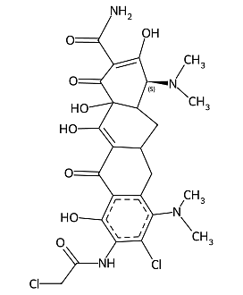 CN(C)c1c(Cl)c(NC(=O)CCl)c(O)c2c1CC1CC3[C@H](N(C)C)C(O)=C(C(N)=O)C(=O)C3(O)C(O)=C1C2=O